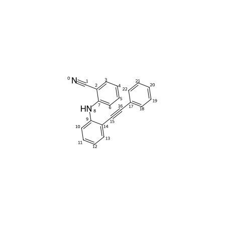 N#Cc1ccccc1Nc1ccccc1C#Cc1ccccc1